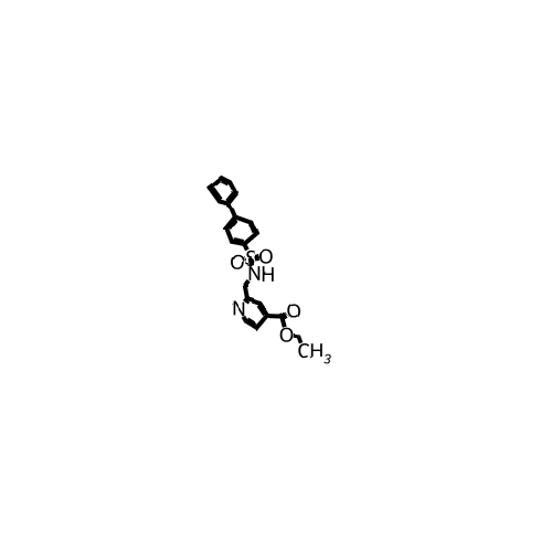 CCOC(=O)c1ccnc(CNS(=O)(=O)c2ccc(-c3ccccc3)cc2)c1